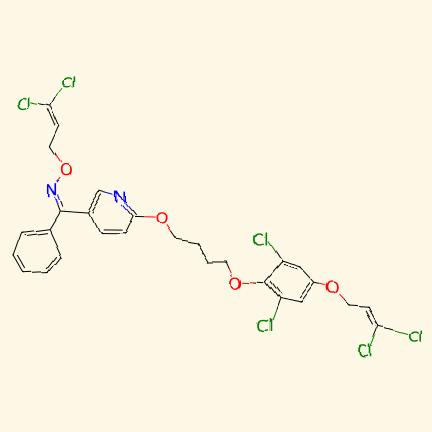 ClC(Cl)=CCON=C(c1ccccc1)c1ccc(OCCCCOc2c(Cl)cc(OCC=C(Cl)Cl)cc2Cl)nc1